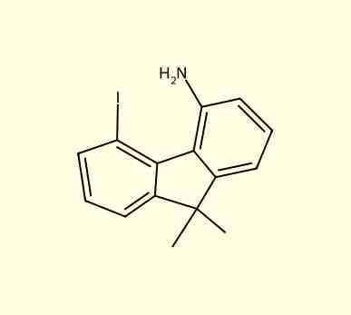 CC1(C)c2cccc(N)c2-c2c(I)cccc21